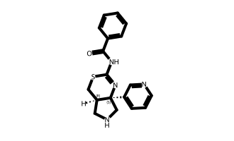 O=C(NC1=N[C@@]2(c3cccnc3)CNC[C@H]2CS1)c1ccccc1